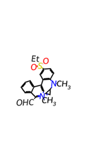 CCS(=O)(=O)c1ccc(N(C)C2CC2)c(-c2c[n+](C)c(C=O)c3ccccc23)c1